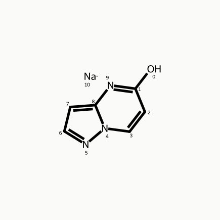 Oc1ccn2nccc2n1.[Na]